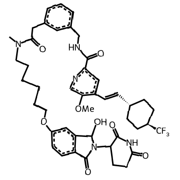 COc1cnc(C(=O)NCc2cccc(CC(=O)N(C)CCCCCCOc3ccc4c(c3)C(O)N(C3CCC(=O)NC3=O)C4=O)c2)cc1/C=C/[C@H]1CC[C@H](C(F)(F)F)CC1